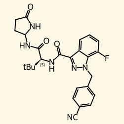 CC(C)(C)[C@H](NC(=O)c1nn(Cc2ccc(C#N)cc2)c2c(F)cccc12)C(=O)NC1CCC(=O)N1